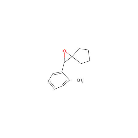 Cc1ccccc1C1OC12CCCC2